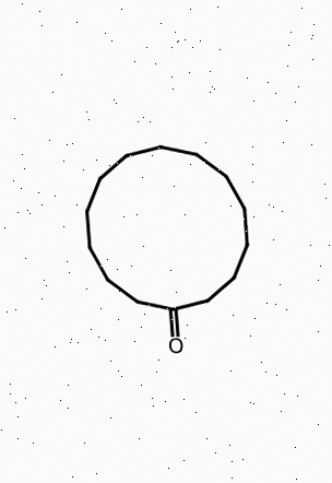 O=C1CCCCCCCCCCCCC1